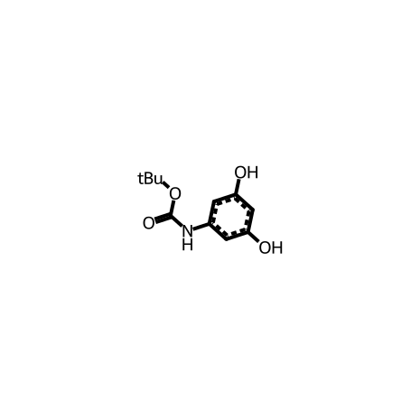 CC(C)(C)OC(=O)Nc1cc(O)cc(O)c1